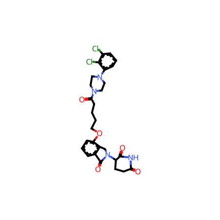 O=C1CCC(N2Cc3c(OCCCCC(=O)N4CCN(c5cccc(Cl)c5Cl)CC4)cccc3C2=O)C(=O)N1